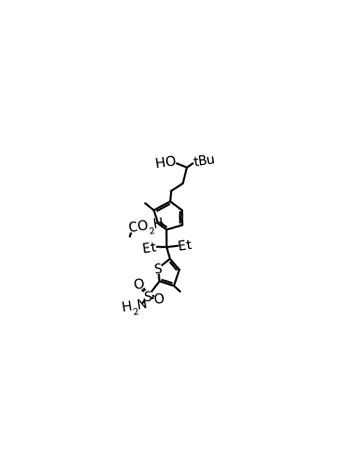 CC(=O)O.CCC(CC)(c1ccc(CCC(O)C(C)(C)C)c(C)c1)c1cc(C)c(S(N)(=O)=O)s1